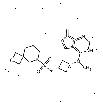 CN(C1=c2cc[nH]c2=NCN1)[C@H]1C[C@@H](CS(=O)(=O)N2CCCC3(COC3)C2)C1